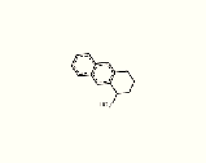 O=C(O)C1CCCc2cc3ccccc3cc21